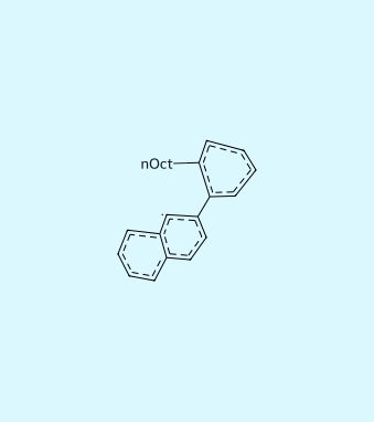 CCCCCCCCc1ccccc1-c1[c]c2ccccc2cc1